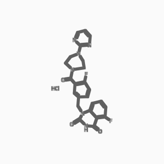 Cl.O=C(c1cc(Cn2c(=O)[nH]c(=O)c3c(F)cccc32)ccc1F)N1CCN(c2ncccn2)CC1